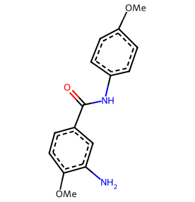 COc1ccc(NC(=O)c2ccc(OC)c(N)c2)cc1